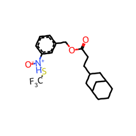 O=C(CCC1CC2CCCC(C2)C1)OCc1cccc([NH+]([O-])SC(F)(F)F)c1